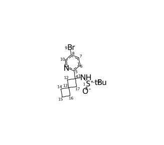 CC(C)(C)[S+]([O-])NC1(c2ccc(Br)cn2)CC2(CCC2)C1